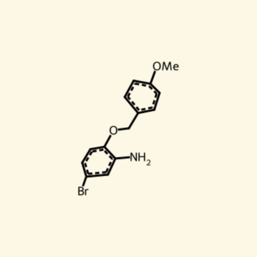 COc1ccc(COc2ccc(Br)cc2N)cc1